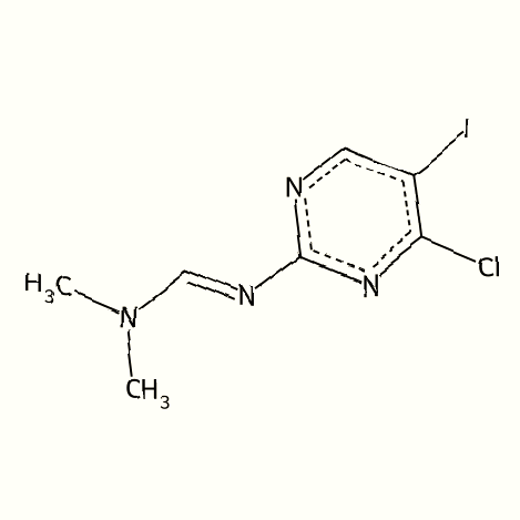 CN(C)C=Nc1ncc(I)c(Cl)n1